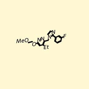 CCc1cc(OCCOC)nnc1Cn1ccnc1-c1cccc(F)c1